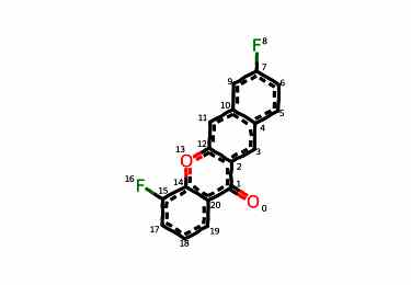 O=c1c2cc3ccc(F)cc3cc2oc2c(F)cccc12